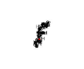 COC(=O)N[C@H](C(=O)N1CCC[C@H]1C(=O)Nc1ccc([C@@H]2CC[C@@H](c3ccc(NC(=O)[C@@H]4CCCN4C(=O)[C@@H](NC(=O)OC)C(C)C)cc3)N2c2ccc(Cl)cc2)cc1)C(C)C